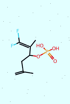 C=C(C)CC(OP(=O)(O)O)C(C)=C(F)F